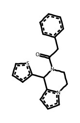 O=C(Cc1ccccc1)N1CCn2cccc2C1c1cccs1